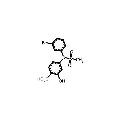 CS(=O)(=O)N(c1cccc(Br)c1)c1ccc(C(=O)O)c(O)c1